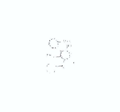 CCCCc1nc(O)c(C(=O)N2CCCCC2)c(O)c1-c1c(OC)cccc1OC